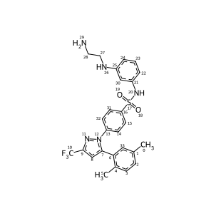 Cc1ccc(C)c(-c2cc(C(F)(F)F)nn2-c2ccc(S(=O)(=O)Nc3cccc(NCCN)c3)cc2)c1